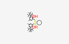 Cc1cc(CS[C@H]2CCCCCC[C@@H]2SCc2cc(C)cc([Si](C(C)C)(C(C)C)C(C)C)c2O)c(O)c([Si](C(C)C)(C(C)C)C(C)C)c1